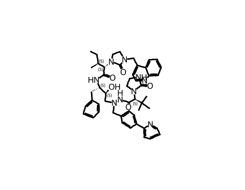 CC[C@H](C)[C@@H](C(=O)N[C@@H](Cc1ccccc1)[C@@H](O)CN(Cc1ccc(-c2ccccn2)cc1)NC(=O)[C@@H](N1CCNC1=O)C(C)(C)C)N1CCN(Cc2ccnc3ccccc23)C1=O